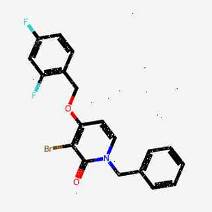 O=c1c(Br)c(OCc2ccc(F)cc2F)ccn1Cc1[c]cccc1